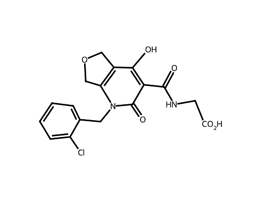 O=C(O)CNC(=O)c1c(O)c2c(n(Cc3ccccc3Cl)c1=O)COC2